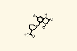 O=C1C[N+](=O)c2c(CN3CCCC(C(=O)O)C3)cc(Br)cc2N1